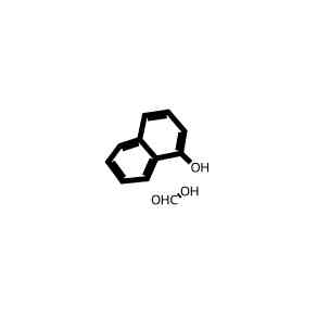 O=CO.Oc1cccc2ccccc12